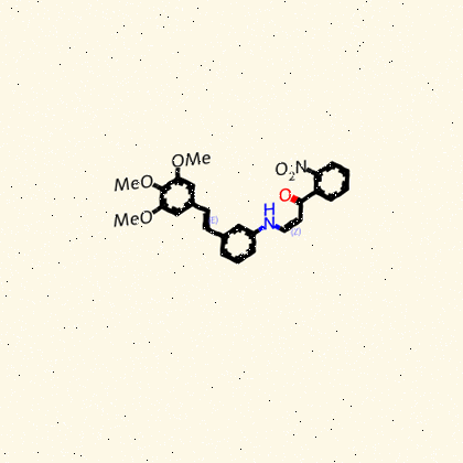 COc1cc(/C=C/c2cccc(N/C=C\C(=O)c3ccccc3[N+](=O)[O-])c2)cc(OC)c1OC